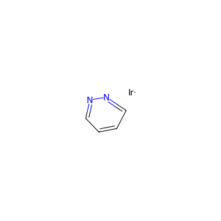 [Ir].c1ccnnc1